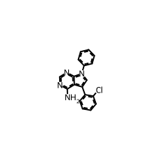 Nc1ncnc2c1c(-c1ccccc1Cl)cn2-c1ccccc1